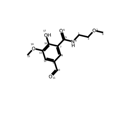 COCCNC(=O)c1cc(C=O)cc(OC)c1O